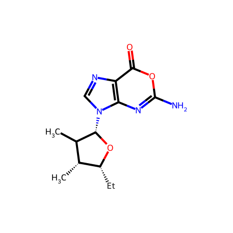 CC[C@H]1O[C@@H](n2cnc3c(=O)oc(N)nc32)C(C)[C@H]1C